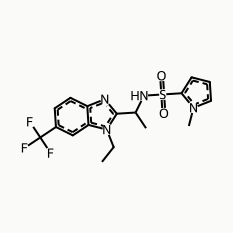 CCn1c(C(C)NS(=O)(=O)c2cccn2C)nc2ccc(C(F)(F)F)cc21